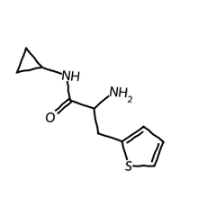 NC(Cc1cccs1)C(=O)NC1CC1